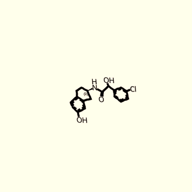 O=C(N[C@@H]1CCc2ccc(O)cc2C1)C(O)c1cccc(Cl)c1